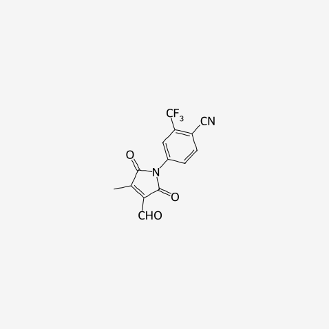 CC1=C(C=O)C(=O)N(c2ccc(C#N)c(C(F)(F)F)c2)C1=O